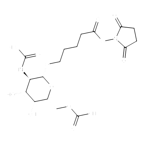 CC(=O)N[C@H]1[C@H](OCCCCC(=O)ON2C(=O)CCC2=O)O[C@H](COC(C)=O)[C@H](O)[C@@H]1O